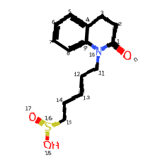 O=C1CCc2ccccc2N1CCCCCS(=O)O